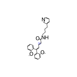 COc1ccccc1C(=C/C=C/C(=O)NCCCCc1cccnc1)c1ccccc1OC